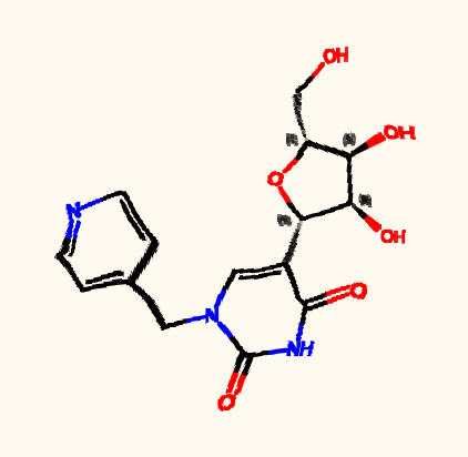 O=c1[nH]c(=O)n(Cc2ccncc2)cc1[C@@H]1O[C@H](CO)[C@@H](O)[C@H]1O